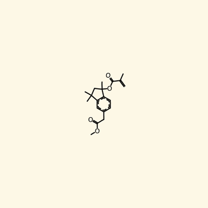 C=C(C)C(=O)OC1(C)CC(C)(C)c2cc(CC(=O)OC)ccc21